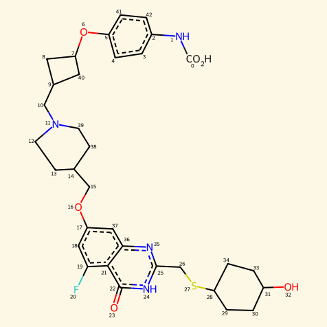 O=C(O)Nc1ccc(OC2CC(CN3CCC(COc4cc(F)c5c(=O)[nH]c(CSC6CCC(O)CC6)nc5c4)CC3)C2)cc1